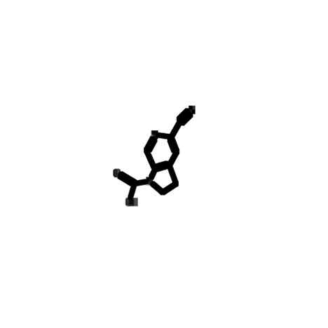 N#Cc1cc2c(cn1)N(C(=O)O)CC2